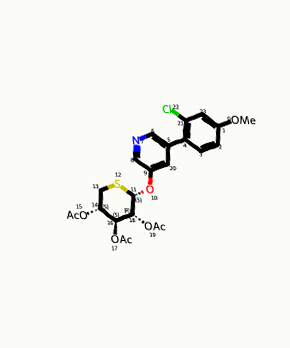 COc1ccc(-c2cncc(O[C@H]3SC[C@@H](OC(C)=O)[C@H](OC(C)=O)[C@H]3OC(C)=O)c2)c(Cl)c1